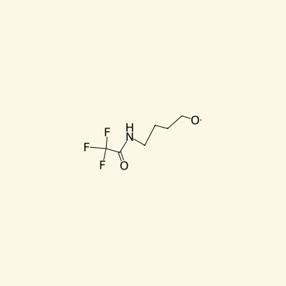 [O]CCCCNC(=O)C(F)(F)F